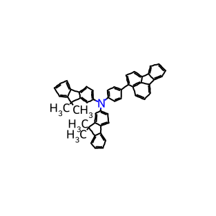 CC1(C)c2ccccc2-c2ccc(N(c3ccc(-c4ccc5c6c(cccc46)-c4ccccc4-5)cc3)c3ccc4c(c3)C(C)(C)c3ccccc3-4)cc21